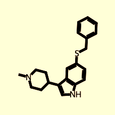 CN1CCC(c2c[nH]c3ccc(SCc4ccccc4)cc23)CC1